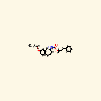 CC(C)(CCc1ccccc1)OC(=O)NC1CCCc2ccc(OCC(=O)O)cc2C1